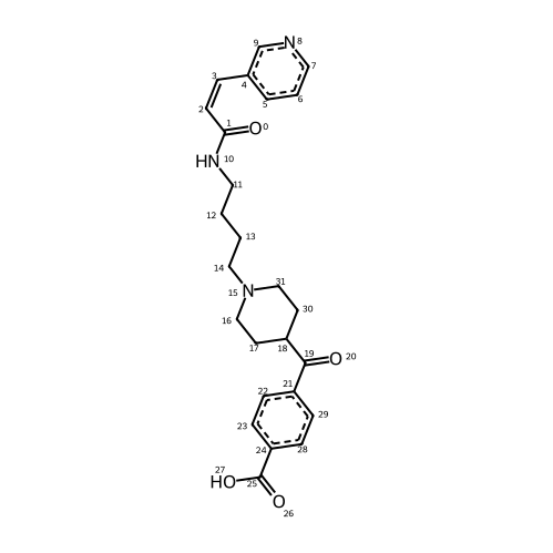 O=C(/C=C\c1cccnc1)NCCCCN1CCC(C(=O)c2ccc(C(=O)O)cc2)CC1